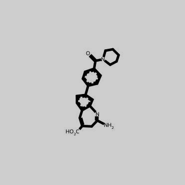 NC1=Nc2cc(-c3ccc(C(=O)N4CCCCC4)cc3)ccc2C=C(C(=O)O)C1